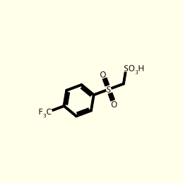 O=S(=O)(O)CS(=O)(=O)c1ccc(C(F)(F)F)cc1